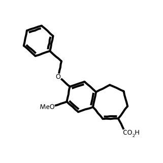 COc1cc2c(cc1OCc1ccccc1)CCCC(C(=O)O)=C2